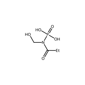 CCC(=O)N(CO)P(=O)(O)O